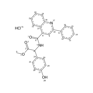 COC(=O)C(NC(=O)c1cc(-c2ccccc2)nc2ccccc12)c1ccc(O)cc1.Cl